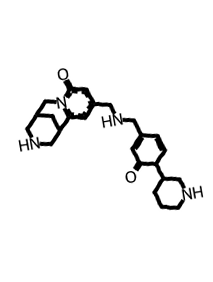 O=C1C=C(CNCc2cc3n(c(=O)c2)CC2CNCC3C2)C=CC1C1CCCNC1